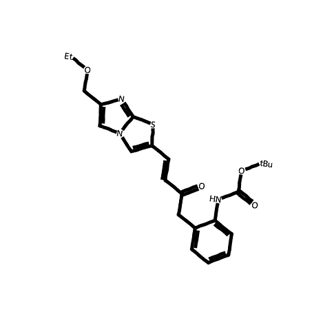 CCOCc1cn2cc(/C=C/C(=O)Cc3ccccc3NC(=O)OC(C)(C)C)sc2n1